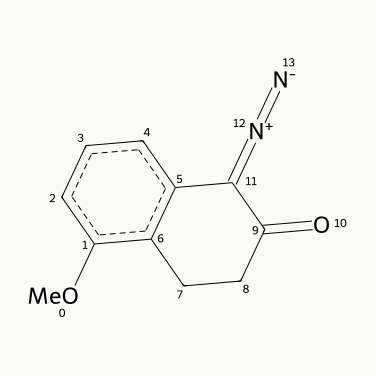 COc1cccc2c1CCC(=O)C2=[N+]=[N-]